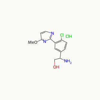 COc1ccnc(-c2cc(C(N)CO)ccc2Cl)n1.Cl